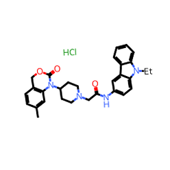 CCn1c2ccccc2c2cc(NC(=O)CN3CCC(N4C(=O)OCc5ccc(C)cc54)CC3)ccc21.Cl